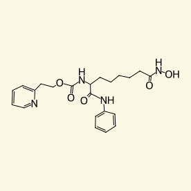 O=C(CCCCCC(NC(=O)OCCc1ccccn1)C(=O)Nc1ccccc1)NO